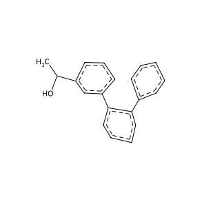 CC(O)c1cccc(-c2ccccc2-c2ccccc2)c1